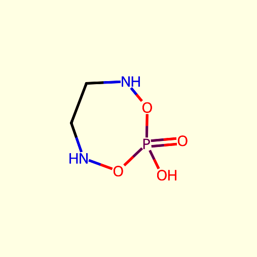 O=P1(O)ONCCNO1